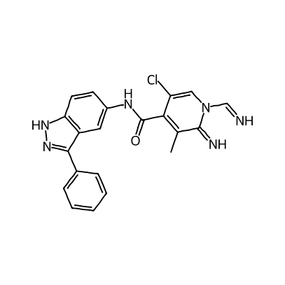 Cc1c(C(=O)Nc2ccc3[nH]nc(-c4ccccc4)c3c2)c(Cl)cn(C=N)c1=N